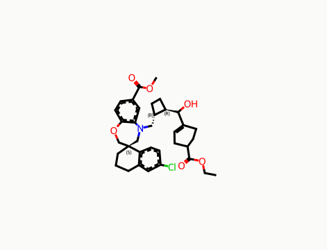 CCOC(=O)C1CC=C(C(O)[C@@H]2CC[C@H]2CN2C[C@@]3(CCCc4cc(Cl)ccc43)COc3ccc(C(=O)OC)cc32)CC1